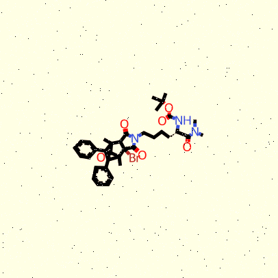 CN(C)C(=O)[C@H](CCCCN1C(=O)C2C3(C)C(=O)C(C)(C(c4ccccc4)=C3c3ccccc3)C2(Br)C1=O)NC(=O)OC(C)(C)C